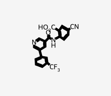 N#Cc1ccc(NC(=O)c2cncc(-c3cccc(C(F)(F)F)c3)c2)c(C(=O)O)c1